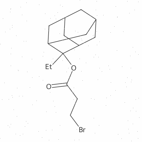 CCC1(OC(=O)CCBr)C2CC3CC(C2)CC1C3